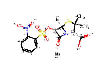 CC1(C)S[C@@H]2[C@H](OS(=O)(=O)c3ccccc3[N+](=O)[O-])C(=O)N2[C@H]1C(=O)[O-].[Na+]